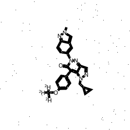 [2H]C([2H])([2H])Oc1ccc(-c2c(=O)n(-c3ccc4nn(C)cc4c3)nc3cnn(CC4CC4)c23)cc1